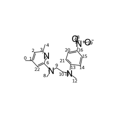 Cc1cc(C)nc(N(C)CCN(C)c2ccc([N+](=O)[O-])cc2)c1